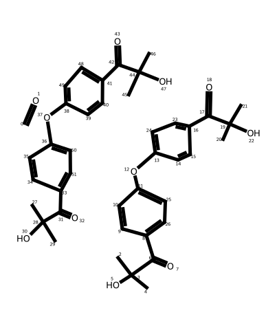 C=O.CC(C)(O)C(=O)c1ccc(Oc2ccc(C(=O)C(C)(C)O)cc2)cc1.CC(C)(O)C(=O)c1ccc(Oc2ccc(C(=O)C(C)(C)O)cc2)cc1